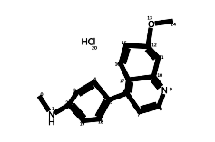 CNc1ccc(-c2ccnc3cc(OC)ccc23)cc1.Cl